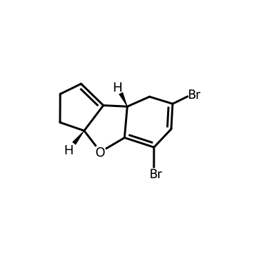 BrC1=CC(Br)=C2O[C@@H]3CCC=C3[C@@H]2C1